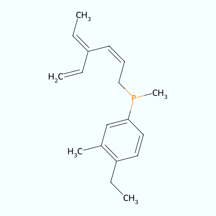 C=CC(/C=C\CP(C)c1ccc(CC)c(C)c1)=C/C